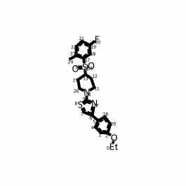 CCOc1ccc(-c2csc(N3CCC(S(=O)(=O)c4cc(F)ccc4C)CC3)n2)cc1